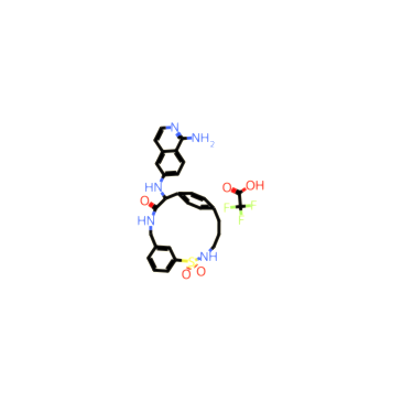 Nc1nccc2cc(NC3C(=O)NCc4cccc(c4)S(=O)(=O)NCCCc4ccc3cc4)ccc12.O=C(O)C(F)(F)F